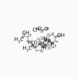 CC(C)CCC[C@@H](C)[C@H]1CC[C@H]2[C@@H]3CC=C4CC(O)CC[C@]4(C)[C@H]3CC[C@]12C.O=COCl